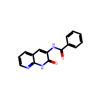 O=C(Nc1cc2cccnc2[nH]c1=O)c1ccccc1